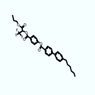 CCCCCCc1ccc(-c2ccc(C(=O)Oc3ccc(C(=O)OC(C(=O)OCCC)C(F)(F)F)cc3)cc2)cc1